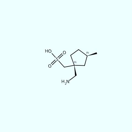 C[C@@H]1CC[C@@](CN)(CS(=O)(=O)O)C1